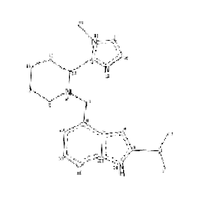 CC(C)c1cc2c(CN3CCCCC3c3nccn3C)cccc2[nH]1